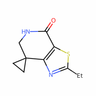 CCc1nc2c(s1)C(=O)NCC21CC1